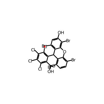 O=C(O)c1c(Cl)c(Cl)c(Cl)c(Cl)c1C1c2c(Br)ccc(Br)c2Oc2c(Br)c(O)cc(Br)c21